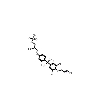 CC(C)(c1ccc(OCC(O)CNS(C)(=O)=O)cc1)c1cc(Cl)c(OC/C=C/Cl)c(Cl)c1